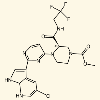 COC(=O)N1CCN(c2ccnc(C3=CNC4NC=C(Cl)C=C34)n2)[C@@H](C(=O)NCC(F)(F)F)C1